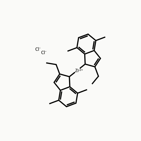 CCC1=Cc2c(C)ccc(C)c2[CH]1[Zr+2][CH]1C(CC)=Cc2c(C)ccc(C)c21.[Cl-].[Cl-]